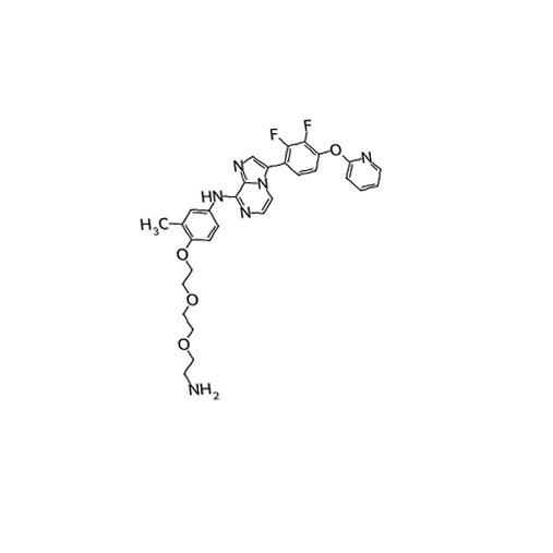 Cc1cc(Nc2nccn3c(-c4ccc(Oc5ccccn5)c(F)c4F)cnc23)ccc1OCCOCCOCCN